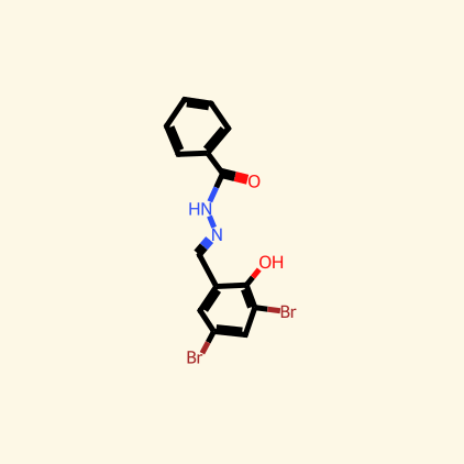 O=C(NN=Cc1cc(Br)cc(Br)c1O)c1ccccc1